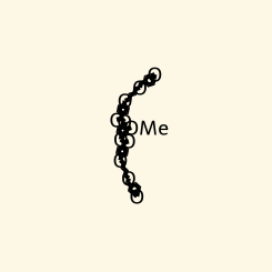 COc1cc(OC(=O)c2ccc(OCCCCOCC3CCC4OC4C3)cc2)ccc1OC(=O)c1ccc(OCCCCOCC2CCC3OC3C2)cc1